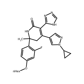 CCCCCCOc1ccc(C2(C)CC(c3cnn(C4CC4)c3)=C(c3nnc[nH]3)C(=O)N2)c(F)c1